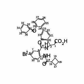 O=C(O)CC(NC(=O)c1cc(Br)ccc1NC(=O)C1CCC1)c1ccc(-c2ccccc2Oc2ccccc2)cc1